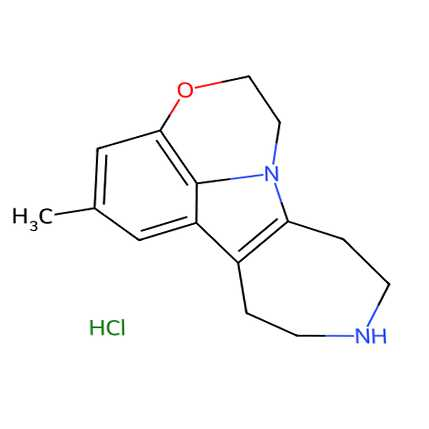 Cc1cc2c3c(c1)c1c(n3CCO2)CCNCC1.Cl